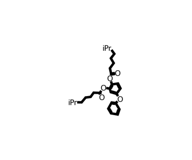 CC(C)CCCCC(=O)Oc1ccc(Oc2ccccc2)cc1OC(=O)CCCCC(C)C